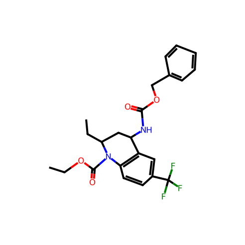 CCOC(=O)N1c2ccc(C(F)(F)F)cc2C(NC(=O)OCc2ccccc2)CC1CC